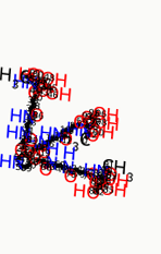 CC(=O)N[C@H]1[C@H](OCCCCC(=O)NCCCNC(=O)CCO[C@@H]2[C@@H](OCCC(=O)NCCCNC(=O)CCCCO[C@@H]3O[C@H](CO)[C@H](O)[C@H](O)[C@H]3NC(C)=O)CNCCC[C@H]2OCCC(=O)NCCCNC(=O)CCCCO[C@@H]2O[C@H](CO)[C@H](O)[C@H](O)[C@H]2NC(C)=O)O[C@H](CO)[C@H](O)[C@@H]1O